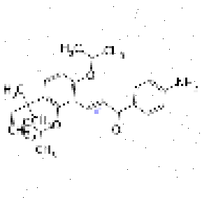 C=CC(C)(C)c1ccc(OC(C)C)c(/C=C/C(=O)c2ccc(N)cc2)c1OC(C)C